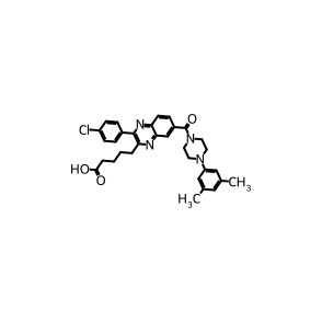 Cc1cc(C)cc(N2CCN(C(=O)c3ccc4nc(-c5ccc(Cl)cc5)c(CCCCC(=O)O)nc4c3)CC2)c1